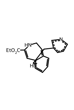 CCOC(=O)C1=CC23C(=CCN1)C=CC=C2NCC3Cc1cccnc1